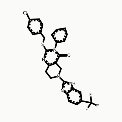 O=c1c2c(nc(SCc3ccc(Cl)cc3)n1-c1ccccc1)CCN(c1nc3ccc(C(F)(F)F)cc3[nH]1)C2